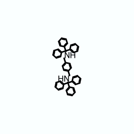 c1ccc(C(NCc2ccc(CNC(c3ccccc3)(c3ccccc3)c3ccccc3)cc2)(c2ccccc2)c2ccccc2)cc1